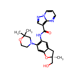 CC1(C)CN(c2cc3c(cc2NC(=O)c2cnn4cccnc24)C[C@@](C)(CO)O3)CCO1